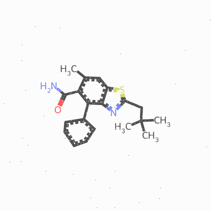 Cc1cc2sc(CC(C)(C)C)nc2c(-c2ccccc2)c1C(N)=O